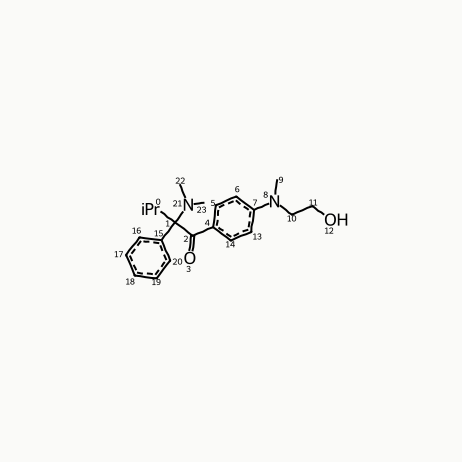 CC(C)C(C(=O)c1ccc(N(C)CCO)cc1)(c1ccccc1)N(C)C